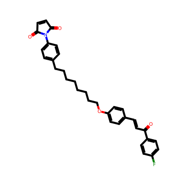 O=C(/C=C/c1ccc(OCCCCCCCCc2ccc(N3C(=O)C=CC3=O)cc2)cc1)c1ccc(F)cc1